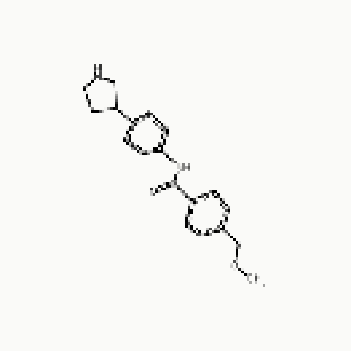 COCc1ccc(C(=O)Nc2ccc(C3CCNC3)cc2)cc1